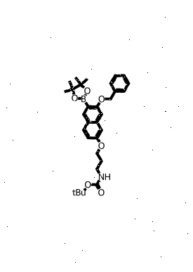 CC(C)(C)OC(=O)NCCCOc1ccc2cc(B3OC(C)(C)C(C)(C)O3)c(OCc3ccccc3)cc2c1